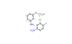 Cc1ccc(N)cc1Cl.Nc1cccc(CC(=O)O)c1